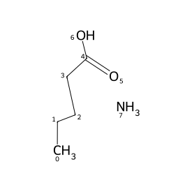 CCCCC(=O)O.N